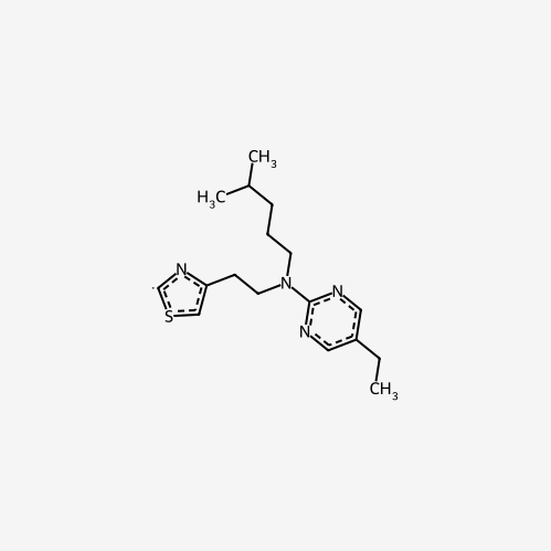 CCc1cnc(N(CCCC(C)C)CCc2cs[c]n2)nc1